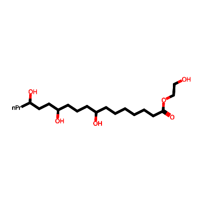 CCCC(O)CCC(O)CCCC(O)CCCCCCC(=O)OCCO